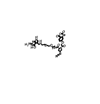 Cn1c(=O)oc(=O)c2ccc(OCC(=O)N3CC(N=[N+]=[N-])C[C@H]3C(=O)NCCOCCOCCNCc3c[nH]c4nc(N)[nH]c(=O)c34)cc21